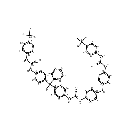 CC(C)(C)c1ccc(OC(=O)Oc2ccc(Cc3ccc(OC(=O)Oc4ccc(C(C)(c5ccccc5)c5ccc(OC(=O)Oc6ccc(C(C)(C)C)cc6)cc5)cc4)cc3)cc2)cc1